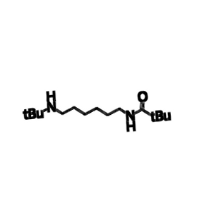 CC(C)(C)NCCCCCCNC(=O)C(C)(C)C